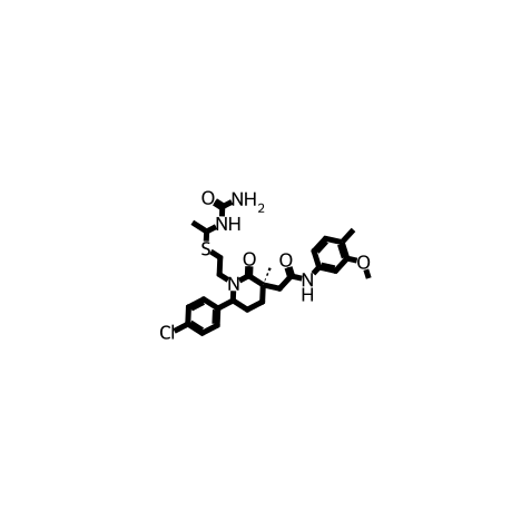 COc1cc(NC(=O)C[C@@]2(C)CCC(c3ccc(Cl)cc3)N(CCSC(C)NC(N)=O)C2=O)ccc1C